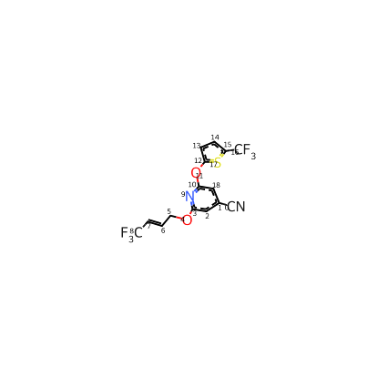 N#Cc1cc(OCC=CC(F)(F)F)nc(Oc2ccc(C(F)(F)F)s2)c1